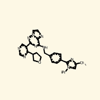 CC(C)n1cc(C(F)(F)F)nc1-c1ccc(CNc2nc(-c3cncnc3C3CCOC3)nn3ccnc23)cc1